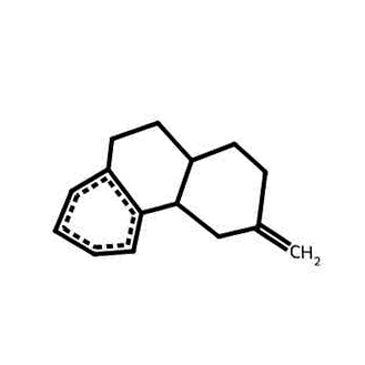 C=C1CCC2CCc3ccccc3C2C1